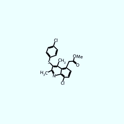 COC(=O)Cc1ccc(Cl)c2nc(C)c(Sc3ccc(Cl)cc3)c(C)c12